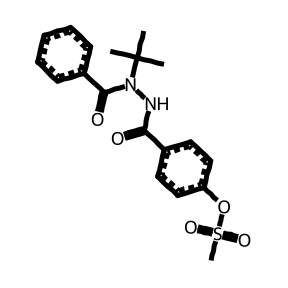 CC(C)(C)N(NC(=O)c1ccc(OS(C)(=O)=O)cc1)C(=O)c1ccccc1